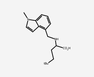 Cn1ccc2c(CNC(CCC(C)(C)C)C(=O)O)cccc21